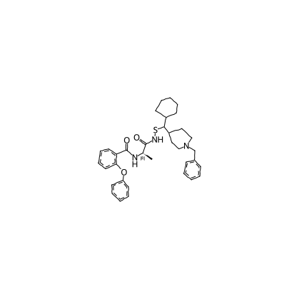 C[C@@H](NC(=O)c1ccccc1Oc1ccccc1)C(=O)NSC(C1CCCCC1)C1CCN(Cc2ccccc2)CC1